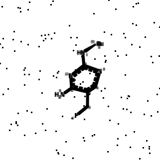 CC[C@H](C)Nc1ncc(CF)c(N)n1